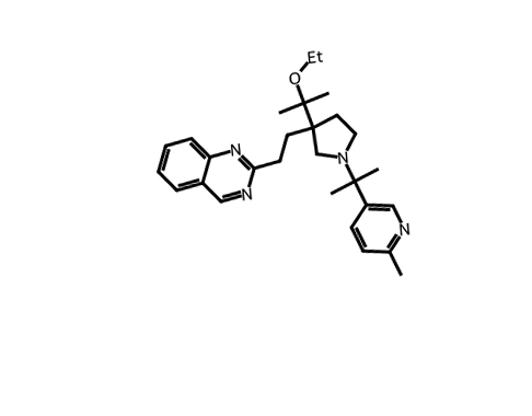 CCOC(C)(C)C1(CCc2ncc3ccccc3n2)CCN(C(C)(C)c2ccc(C)nc2)C1